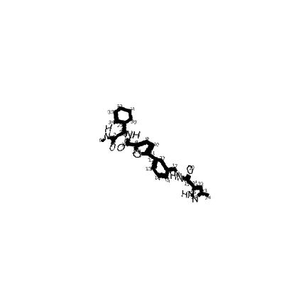 CNC(=O)[C@@H](NC(=O)c1ccc(-c2cccc(CNC(=O)c3cc(C)n[nH]3)c2)o1)C1CCCCC1